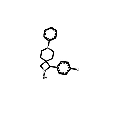 CC(C)N1CC2(CCN(c3ccccn3)CC2)C1c1ccc(Cl)cc1